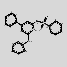 O=S(=O)(Nc1cc(-c2ccccc2)cc(Oc2ccccc2)n1)c1ccccc1